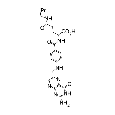 CC(C)CNC(=O)CCC(NC(=O)c1ccc(NCc2cnc3nc(N)[nH]c(=O)c3n2)cc1)C(=O)O